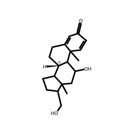 CC12C=CC(=O)C=C1CC[C@@H]1C2C(O)CC2(C)C(CO)CCC12